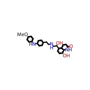 COc1ccc(Nc2ccc(CCNCC(O)c3ccc(O)c4[nH]c(=O)ccc34)cc2)cc1